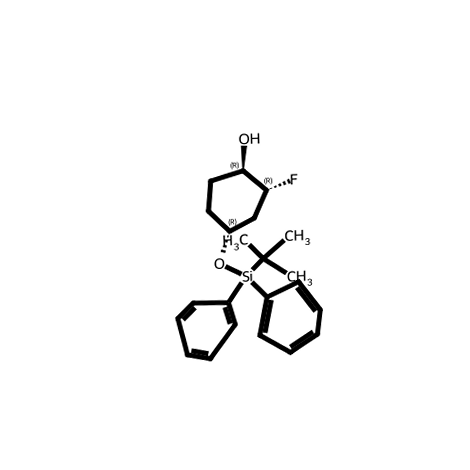 CC(C)(C)[Si](O[C@@H]1CC[C@@H](O)[C@H](F)C1)(c1ccccc1)c1ccccc1